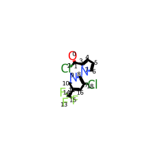 O=C(Cl)c1cccn1-c1ncc(C(F)(F)F)cc1Cl